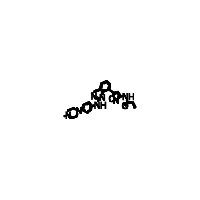 C=CC(=O)Nc1cc(-c2cccc3cnc(Nc4ccc(N5CCN(C)CC5)cc4)nc23)on1